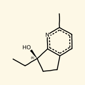 CC[C@@]1(O)CCc2ccc(C)nc21